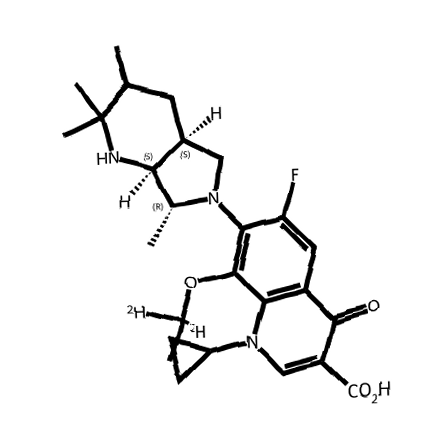 [2H]C([2H])(C)Oc1c(N2C[C@@H]3CC(C)C(C)(C)N[C@@H]3[C@H]2C)c(F)cc2c(=O)c(C(=O)O)cn(C3CC3)c12